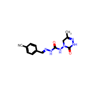 CC1=NNC(=O)N(NC(=O)N/N=C/c2ccc(C#N)cc2)C1